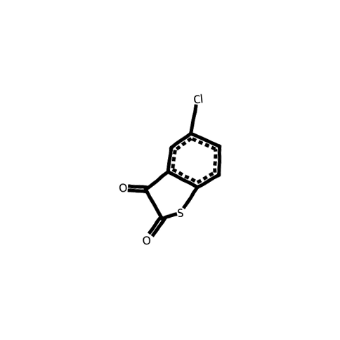 O=C1Sc2ccc(Cl)cc2C1=O